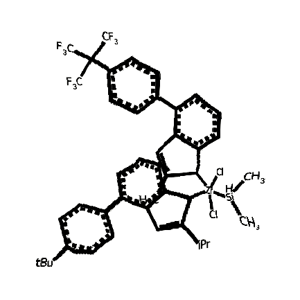 CC1=Cc2c(-c3ccc(C(C(F)(F)F)(C(F)(F)F)C(F)(F)F)cc3)cccc2[CH]1[Zr]([Cl])([Cl])([CH]1C(C(C)C)=Cc2c(-c3ccc(C(C)(C)C)cc3)cccc21)[SiH](C)C